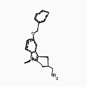 Cn1c2c(c3cc(OCc4ccccc4)ccc31)CC(CN)C2